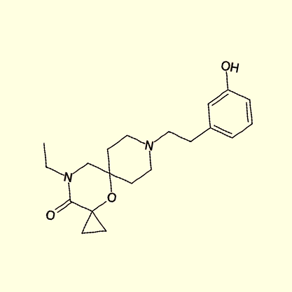 CCN1CC2(CCN(CCc3cccc(O)c3)CC2)OC2(CC2)C1=O